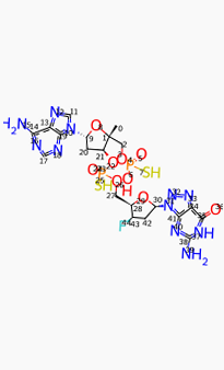 C[C@]1(COP(=O)(O)S)O[C@@H](n2cnc3c(N)ncnc32)C[C@@H]1OP(=O)(S)OC[C@H]1O[C@@H](n2nnc3c(=O)[nH]c(N)nc32)C[C@H]1F